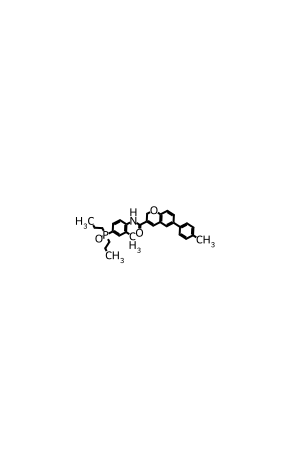 CCCP(=O)(CCC)c1ccc(NC(=O)C2=Cc3cc(-c4ccc(C)cc4)ccc3OC2)c(C)c1